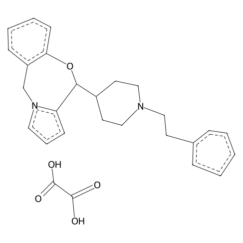 O=C(O)C(=O)O.c1ccc(CCN2CCC(C3Oc4ccccc4Cn4cccc43)CC2)cc1